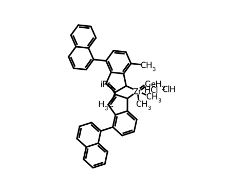 CC1=Cc2c(-c3cccc4ccccc34)ccc(C)c2[CH]1[Zr]([CH3])([CH3])(=[GeH2])[CH]1C(C(C)C)=Cc2c(-c3cccc4ccccc34)cccc21.Cl.Cl